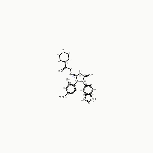 COc1ccc(C2/C(=N/CC(=O)N3CCSCC3)NC(=O)N2c2ccc3[nH]cnc3c2)c(F)c1